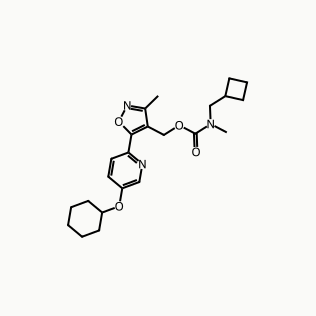 Cc1noc(-c2ccc(OC3CCCCC3)cn2)c1COC(=O)N(C)CC1CCC1